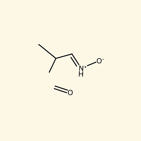 C=O.CC(C)C=[NH+][O-]